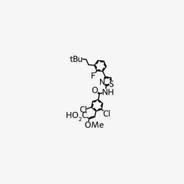 COC(=Cc1c(Cl)cc(C(=O)Nc2nc(-c3cccc(CCC(C)(C)C)c3F)cs2)cc1Cl)C(=O)O